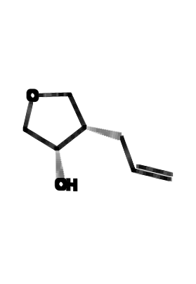 C=CC[C@H]1COC[C@H]1O